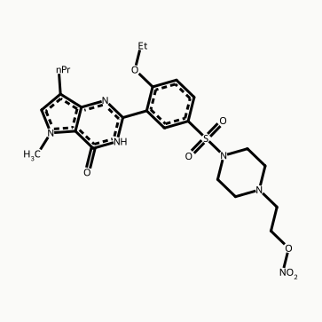 CCCc1cn(C)c2c(=O)[nH]c(-c3cc(S(=O)(=O)N4CCN(CCO[N+](=O)[O-])CC4)ccc3OCC)nc12